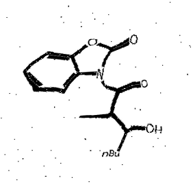 CCCCC(O)C(C)C(=O)n1c(=O)oc2ccccc21